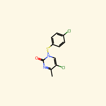 Cc1nc(=O)n(Sc2ccc(Cl)cc2)cc1Cl